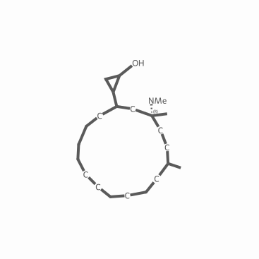 CN[C@]1(C)CCC(C)CCCCCCCCCCC(C2CC2O)C1